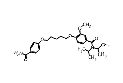 COc1cc(C(=O)N(C(C)C)C(C)C)ccc1OCCCCCOc1ccc(C(N)=O)cc1